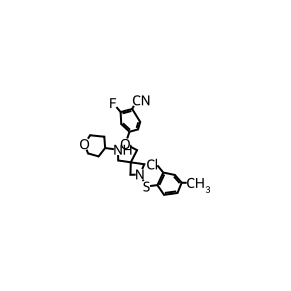 Cc1ccc(SN2CC(CNC3CCOCC3)(COc3ccc(C#N)c(F)c3)C2)c(Cl)c1